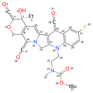 CC[C@@]1(O)C(=C=O)OCC2=C1C=C1C3=C(CN1C2=C=O)N(CCN(C)C(=O)OC(C)(C)C)c1ccc(F)cc1C3=C=O